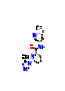 N#Cc1cncn1-c1cccc(C(=O)Nc2ccc(C(F)(F)F)nc2)n1